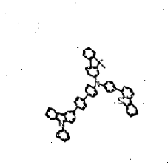 CC1(C)c2ccccc2-c2ccc(N(c3ccc(-c4ccc(-c5ccc6c(c5)c5ccccc5n6-c5ccccc5)cc4)cc3)c3ccc(-c4cccc5c4sc4ccccc45)cc3)cc21